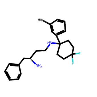 CC(C)(C)c1cccc(C2(NCC[C@@H](N)Cc3ccccc3)CCC(F)(F)CC2)c1